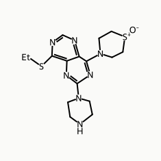 CCSc1ncnc2c(N3CC[S+]([O-])CC3)nc(N3CCNCC3)nc12